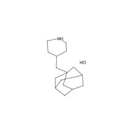 C1CC(CC23CC4CC(CC(C4)C2)C3)CCN1.Cl